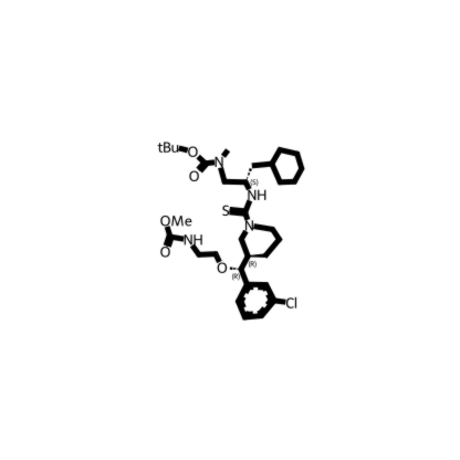 COC(=O)NCCO[C@@H](c1cccc(Cl)c1)[C@@H]1CCCN(C(=S)N[C@@H](CC2CCCCC2)CN(C)C(=O)OC(C)(C)C)C1